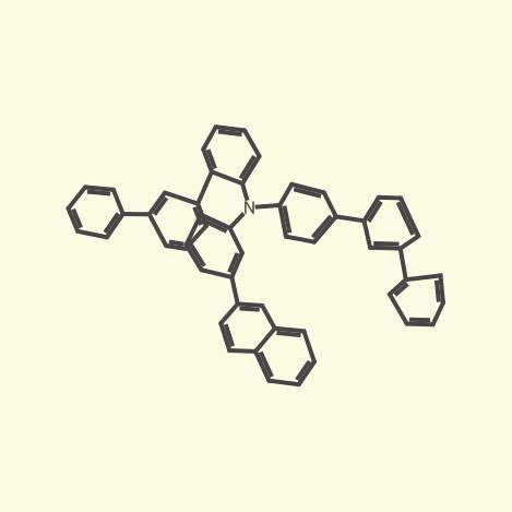 c1ccc(-c2cccc(-c3ccc(N(c4cccc(-c5ccc6ccccc6c5)c4)c4ccccc4-c4cccc(-c5ccccc5)c4)cc3)c2)cc1